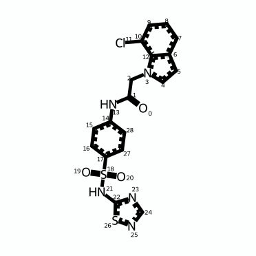 O=C(Cn1ccc2cccc(Cl)c21)Nc1ccc(S(=O)(=O)Nc2ncns2)cc1